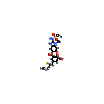 CCn1c(NS(C)(=O)=O)nc2ccc(Oc3c(Br)cc(CC(F)C(=O)O)cc3Br)cc21